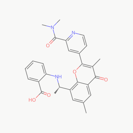 Cc1cc([C@@H](C)Nc2ccccc2C(=O)O)c2oc(-c3ccnc(C(=O)N(C)C)c3)c(C)c(=O)c2c1